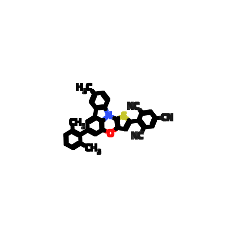 Cc1ccc2c(c1)c1cc(-c3c(C)cccc3C)cc3c1n2-c1sc(-c2c(C#N)cc(C#N)cc2C#N)cc1O3